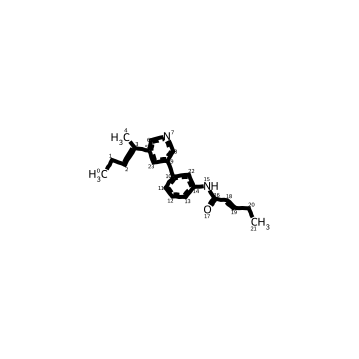 CCC=C(C)c1cncc(-c2cccc(NC(=O)/C=C/CC)c2)c1